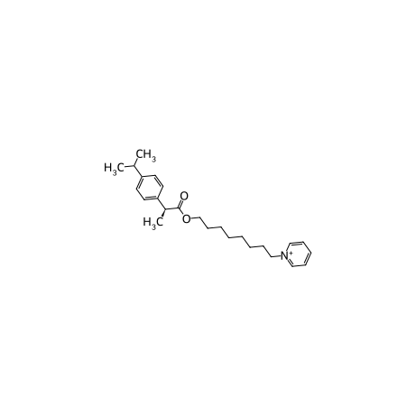 CC(C)c1ccc([C@H](C)C(=O)OCCCCCCCC[n+]2ccccc2)cc1